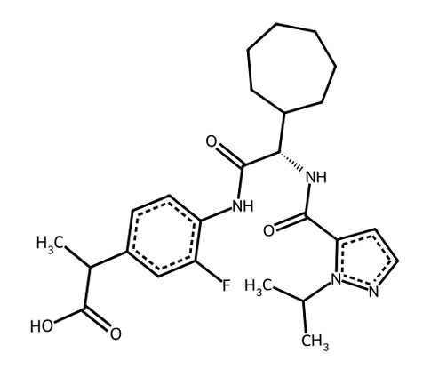 CC(C(=O)O)c1ccc(NC(=O)[C@@H](NC(=O)c2ccnn2C(C)C)C2CCCCCC2)c(F)c1